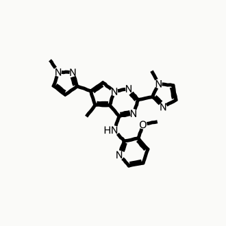 COc1cccnc1Nc1nc(-c2nccn2C)nn2cc(-c3ccn(C)n3)c(C)c12